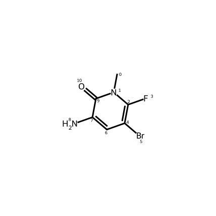 Cn1c(F)c(Br)cc(N)c1=O